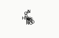 CCC1=C(C(=O)O)C(c2ccccc2F)n2nc(Nc3ccc(Oc4ccncc4)cc3)nc2N1CC